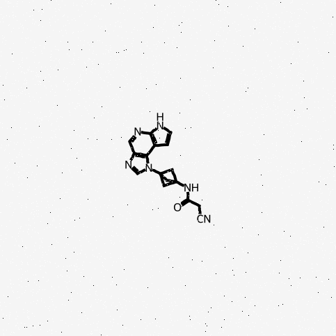 N#CCC(=O)NC12CC(n3cnc4cnc5[nH]ccc5c43)(C1)C2